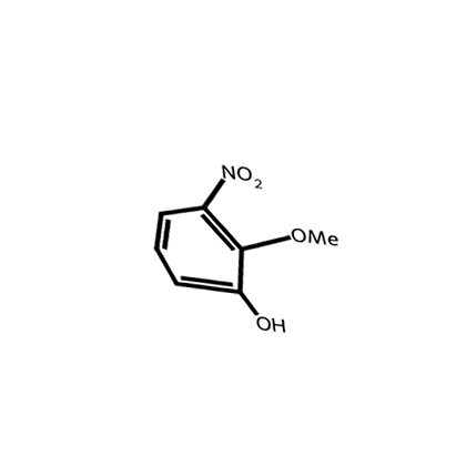 COc1c(O)cccc1[N+](=O)[O-]